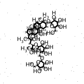 C[C@H](C(O)C[C@@H](O[C@@H]1O[C@H](CO[C@@H]2O[C@H](CO)[C@@H](O)[C@H](O)[C@H]2O)[C@@H](O)[C@H](O)[C@H]1O)C(C)(C)O)C1CC[C@@]2(C)[C@@H]3CC=C4[C@@H](CC[C@H](O[C@@H]5O[C@H](CO)[C@@H](O)[C@H](O)[C@H]5O)C4(C)C)[C@]3(C)[C@@H](O)C[C@]12C